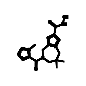 Cn1cccc1C(=O)N1Cc2cc(C(=O)NO)cn2CC(C)(C)C1